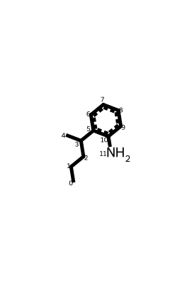 CCCC(C)c1ccccc1N